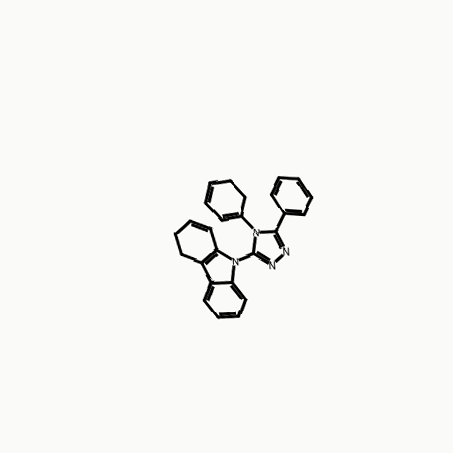 C1=CCCC(n2c(-c3ccccc3)nnc2-n2c3c(c4ccccc42)CCC=C3)=C1